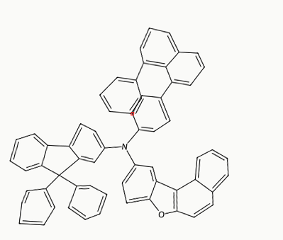 c1ccc(-c2cccc3cccc(-c4ccc(N(c5ccc6c(c5)C(c5ccccc5)(c5ccccc5)c5ccccc5-6)c5ccc6oc7ccc8ccccc8c7c6c5)cc4)c23)cc1